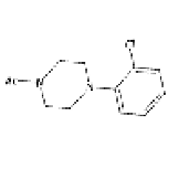 CC(=O)N1CCN(c2ccccc2Cl)CC1